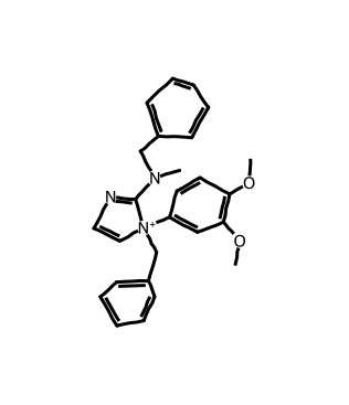 COc1ccc([N+]2(Cc3ccccc3)C=CN=C2N(C)Cc2ccccc2)cc1OC